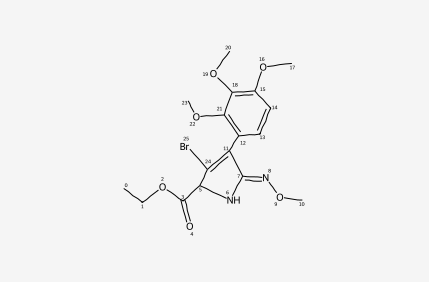 CCOC(=O)C1NC(=NOC)C(c2ccc(OC)c(OC)c2OC)=C1Br